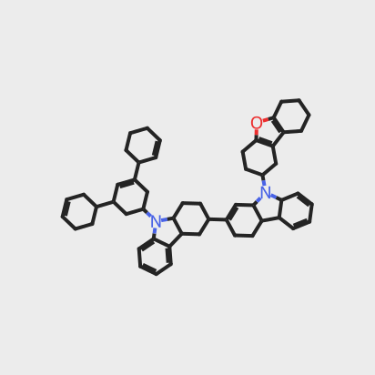 C1=CC2C3CCC(C4CCC5C(C4)c4ccccc4N5C4CC(C5C=CCCC5)=CC(C5CC=CCC5)C4)=CC3N(C3CCc4oc5c(c4C3)CCCC5)C2C=C1